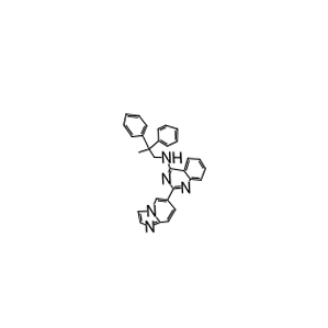 CC(CNc1nc(-c2ccc3nccn3c2)nc2ccccc12)(c1ccccc1)c1ccccc1